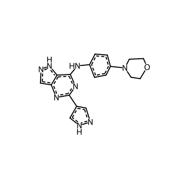 c1cc(N2CCOCC2)ccc1Nc1nc(-c2cn[nH]c2)nc2cn[nH]c12